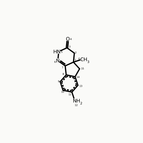 CC12CC(=O)NN=C1c1ccc(N)cc1C2